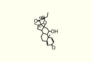 CCC(=O)OC1(C(=O)S)[C@H](C)CC2C3CCC4=CC(=O)C=CC4(C)C3C(O)CC21C